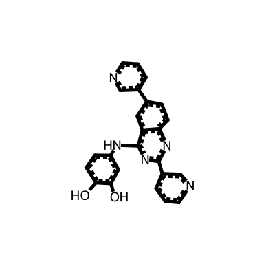 Oc1ccc(Nc2nc(-c3cccnc3)nc3ccc(-c4cccnc4)cc23)cc1O